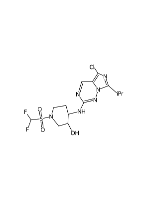 CC(C)c1nc(Cl)c2cnc(NC3CCN(S(=O)(=O)C(F)F)CC3O)nn12